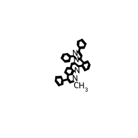 Cc1cc(-c2ccccc2)c2ccc3ccc(-c4ccccc4-c4cc(-c5ccccc5)nc(-c5ccccc5)n4)nc3c2n1